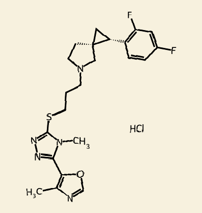 Cc1ncoc1-c1nnc(SCCCN2CC[C@@]3(C[C@@H]3c3ccc(F)cc3F)C2)n1C.Cl